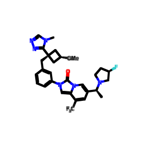 CO[C@H]1C[C@](Cc2cccc(-n3cc4c(C(F)(F)F)cc([C@H](C)N5CC[C@@H](F)C5)cn4c3=O)c2)(c2nncn2C)C1